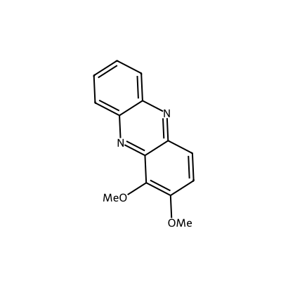 COc1ccc2nc3ccccc3nc2c1OC